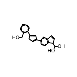 OCc1ccccc1C1=CC(c2ccc3c(c2)C=CC3C(O)O)=CC1